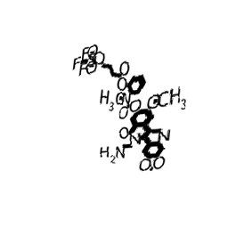 COc1cc2c(cc1OC(=O)N(C)c1ccccc1OC(=O)CCCOS(=O)(=O)C(F)(F)F)c(=O)n(CCN)c1c3cc4c(cc3ncc21)OCO4